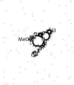 COCC[C@@H]1[C@@H](C)C/C=C/[C@H](OCCN2CCOCC2)[C@@H]2CC[C@H]2CN2CCCCc3cc(Cl)ccc3COc3ccc(cc32)C(=O)NS1(=O)=O